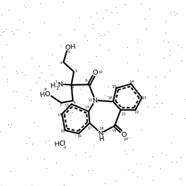 Cl.NC(CCO)(CCO)C(=O)N1c2ccccc2NC(=O)c2ccccc21